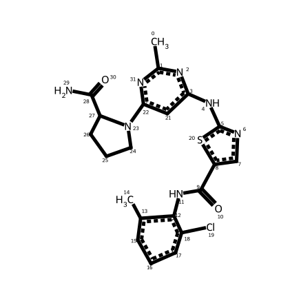 Cc1nc(Nc2ncc(C(=O)Nc3c(C)cccc3Cl)s2)cc(N2CCCC2C(N)=O)n1